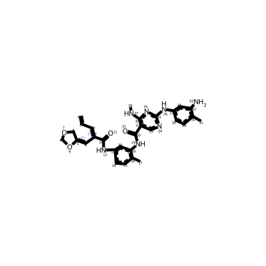 C=C/C=C(\C=C1/COCO1)C(=O)Nc1ccc(C)c(NC(=O)c2cnc(Nc3ccc(C)c(N)c3)nc2NC)c1